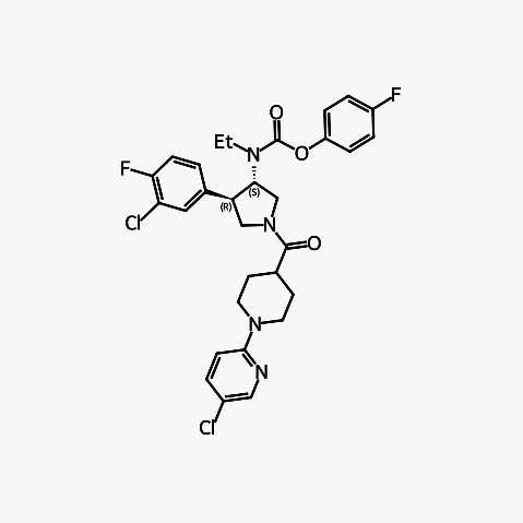 CCN(C(=O)Oc1ccc(F)cc1)[C@@H]1CN(C(=O)C2CCN(c3ccc(Cl)cn3)CC2)C[C@H]1c1ccc(F)c(Cl)c1